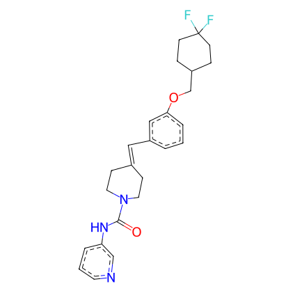 O=C(Nc1cccnc1)N1CCC(=Cc2cccc(OCC3CCC(F)(F)CC3)c2)CC1